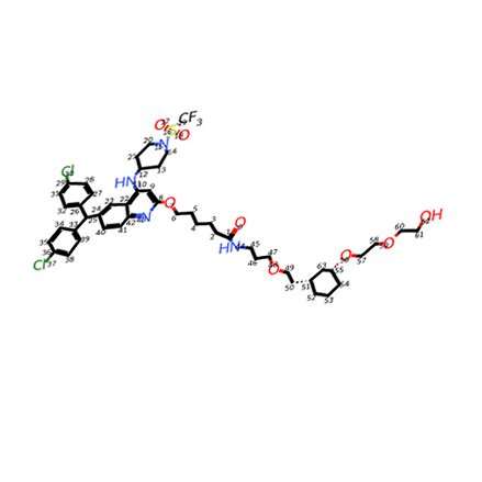 O=C(CCCCCOc1cc(NC2CCN(S(=O)(=O)C(F)(F)F)CC2)c2cc(C(c3ccc(Cl)cc3)c3ccc(Cl)cc3)ccc2n1)NCCCOCC[C@H]1CCC[C@@H](OCCOCCO)C1